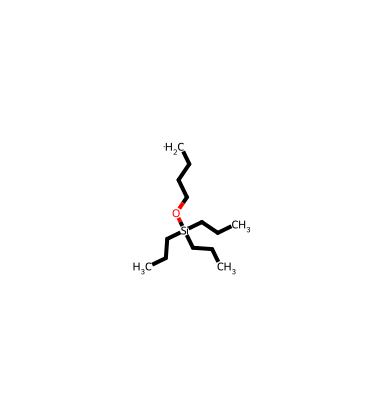 [CH2]CCCO[Si](CCC)(CCC)CCC